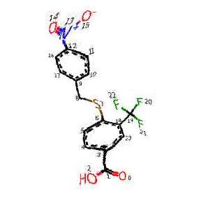 O=C(O)c1ccc(SCc2ccc([N+](=O)[O-])cc2)c(C(F)(F)F)c1